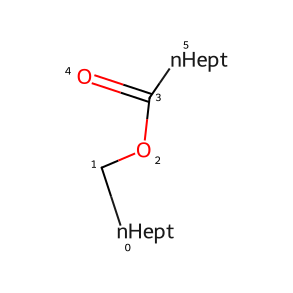 [CH2]CCCCCCCOC(=O)CCCCCCC